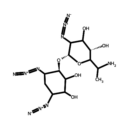 CC(N)C1O[C@H](O[C@@H]2C(N=[N+]=[N-])CC(N=[N+]=[N-])C(O)C2O)C(N=[N+]=[N-])C(O)[C@@H]1O